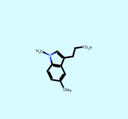 COc1ccc2c(c1)c(CCC(=O)O)cn2C